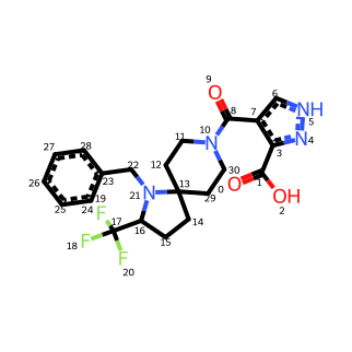 O=C(O)c1n[nH]cc1C(=O)N1CCC2(CCC(C(F)(F)F)N2Cc2ccccc2)CC1